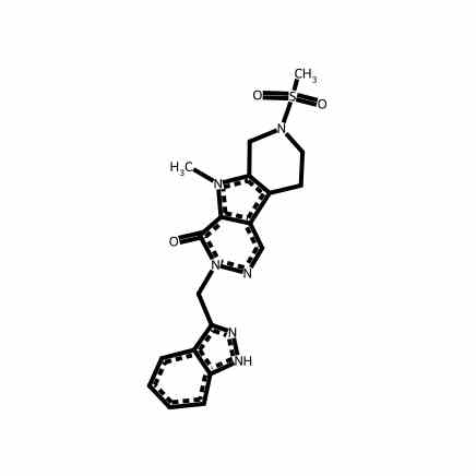 Cn1c2c(c3cnn(Cc4n[nH]c5ccccc45)c(=O)c31)CCN(S(C)(=O)=O)C2